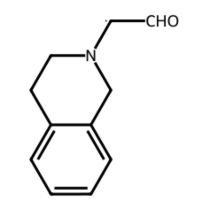 O=C[CH]N1CCc2ccccc2C1